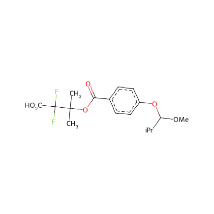 COC(Oc1ccc(C(=O)OC(C)(C)C(F)(F)C(=O)O)cc1)C(C)C